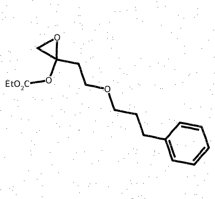 CCOC(=O)OC1(CCOCCCc2ccccc2)CO1